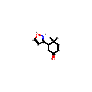 CC1(C)C=CC(=O)CC1c1ccon1